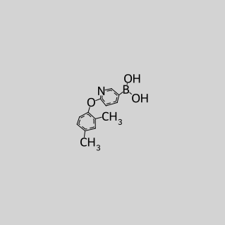 Cc1ccc(Oc2ccc(B(O)O)cn2)c(C)c1